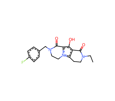 CCN1CCc2c(c(O)c3n2CCN(Cc2ccc(F)cc2)C3=O)C1=O